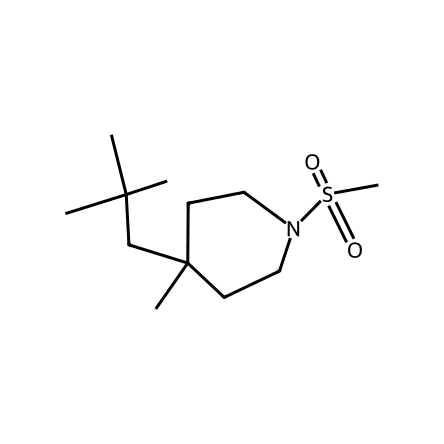 CC(C)(C)CC1(C)CCN(S(C)(=O)=O)CC1